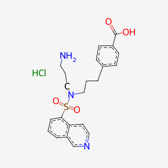 Cl.NCCCN(CCCc1ccc(C(=O)O)cc1)S(=O)(=O)c1cccc2cnccc12